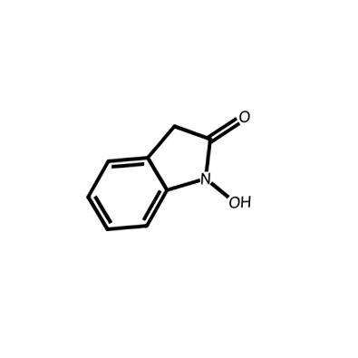 O=C1Cc2ccccc2N1O